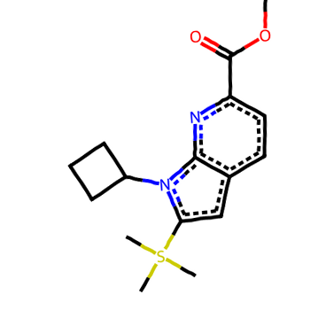 COC(=O)c1ccc2cc(S(C)(C)C)n(C3CCC3)c2n1